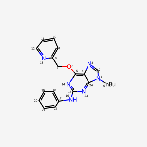 CCCCn1cnc2c(OCc3ccccn3)nc(Nc3ccccc3)nc21